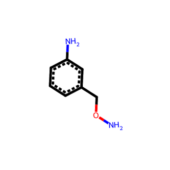 NOCc1cccc(N)c1